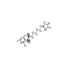 Cc1cc(C)c(C(=O)[PH](=O)CCCCCCC2CCCC2)c(C)c1